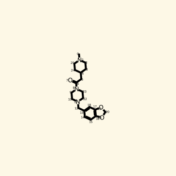 CN1CCC(CC(=O)N2CCN(Cc3ccc4c(c3)OCO4)CC2)CC1